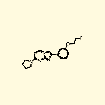 FCCOc1cccc(-c2cn3ccc(N4CCCC4)nc3n2)c1